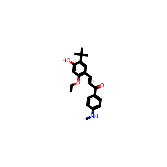 CCOc1cc(O)c(C(C)(C)C)cc1/C=C/C(=O)c1ccc(NC)cc1